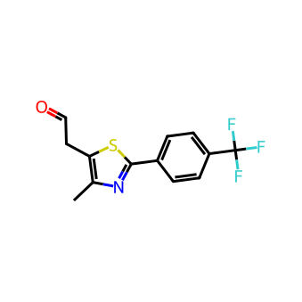 Cc1nc(-c2ccc(C(F)(F)F)cc2)sc1CC=O